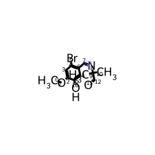 COc1cc(Br)c(/C=N\C(C)(C)C=O)cc1O